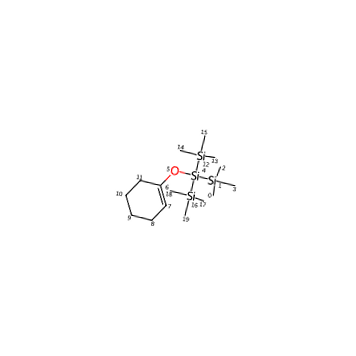 C[Si](C)(C)[Si](OC1=CCCCC1)([Si](C)(C)C)[Si](C)(C)C